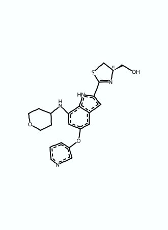 OC[C@@H]1CSC(c2cc3cc(Oc4cccnc4)cc(NC4CCOCC4)c3[nH]2)=N1